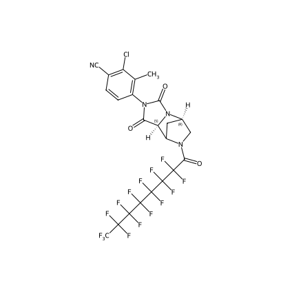 Cc1c(N2C(=O)[C@@H]3C4C[C@H](CN4C(=O)C(F)(F)C(F)(F)C(F)(F)C(F)(F)C(F)(F)C(F)(F)C(F)(F)F)N3C2=O)ccc(C#N)c1Cl